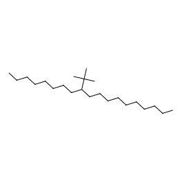 CCCCCCCCCCC(CCCCCCCC)C(C)(C)C